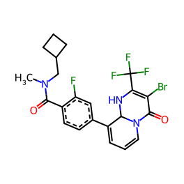 CN(CC1CCC1)C(=O)c1ccc(C2=CC=CN3C(=O)C(Br)=C(C(F)(F)F)NC23)cc1F